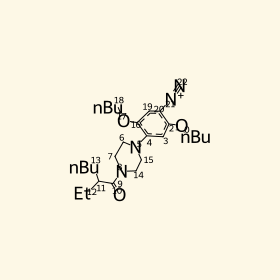 CCCCOc1cc(N2CCN(C(=O)C(CC)CCCC)CC2)c(OCCCC)cc1[N+]#N